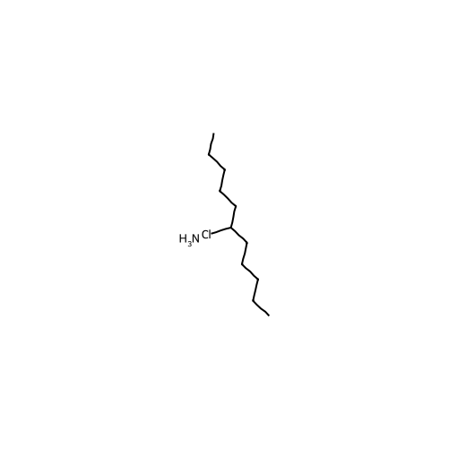 CCCCCC(Cl)CCCCC.N